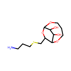 NCCCSCC1OC2OCCCOC1C(O)C2O